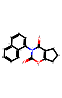 O=c1oc2c(c(=O)n1-c1cccc3ccccc13)CCC2